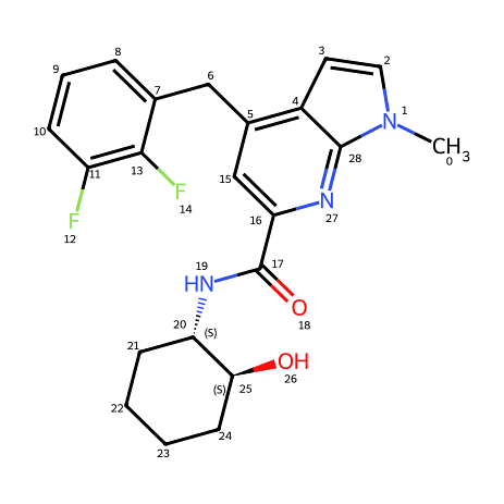 Cn1ccc2c(Cc3cccc(F)c3F)cc(C(=O)N[C@H]3CCCC[C@@H]3O)nc21